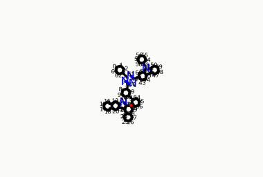 c1ccc(-c2nc(-c3ccc(-n4c5cc6ccccc6cc5c5c6ccccc6ccc54)c(-c4ccccc4)c3)nc(-c3ccc4c5ccccc5n(-c5ccccc5)c4c3)n2)cc1